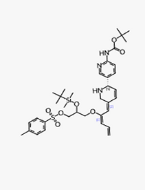 C=C/C=C(\C=C1\C=C[C@@H](c2ccc(NC(=O)OC(C)(C)C)nc2)NC1)OCC(COS(=O)(=O)c1ccc(C)cc1)O[Si](C)(C)C(C)(C)C